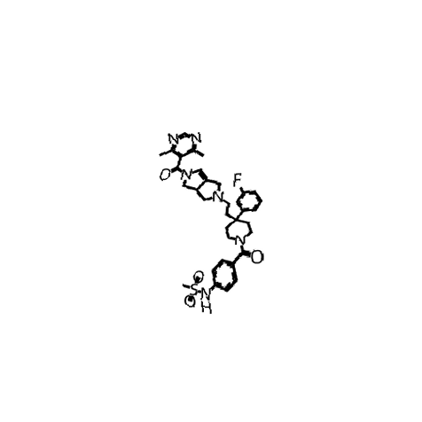 Cc1ncnc(C)c1C(=O)N1C=C2CN(CCC3(c4cccc(F)c4)CCN(C(=O)c4ccc(NS(C)(=O)=O)cc4)CC3)CC2C1